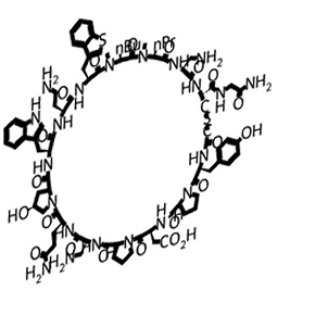 CCCC[C@H]1C(=O)N(C)[C@@H](CCC)C(=O)N[C@@H](CN)C(=O)N[C@H](C(=O)NCC(N)=O)CSCC(=O)N[C@@H](Cc2ccc(O)cc2)C(=O)N2CCC[C@H]2C(=O)N[C@@H](CC(=O)O)C(=O)N2CCC[C@H]2C(=O)N[C@@H](CN)C(=O)N[C@@H](CCC(N)=O)C(=O)N2C[C@H](O)CC2C(=O)N[C@@H](Cc2c[nH]c3ccccc23)C(=O)N[C@@H](CCN)C(=O)N[C@@H](Cc2csc3ccccc23)C(=O)N1C